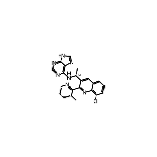 Cc1cccnc1-c1nc2c(Cl)cccc2cc1[C@H](C)Nc1ncnc2[nH]cnc12